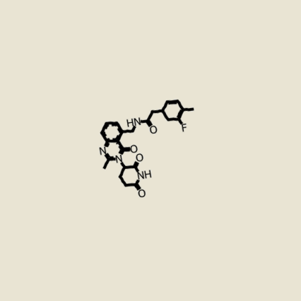 CC1=C(F)CC(CC(=O)NCc2cccc3nc(C)n(C4CCC(=O)NC4=O)c(=O)c23)C=C1